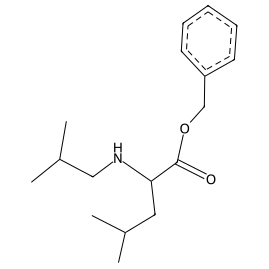 CC(C)CNC(CC(C)C)C(=O)OCc1ccccc1